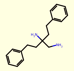 NCC(N)(CCc1ccccc1)CCc1ccccc1